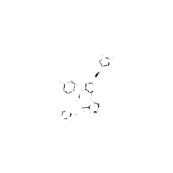 Cc1nnc(C[C@@H]2N=C(c3ccc(Cl)cc3)c3c(sc(C#Cc4cnn(C)c4)c3C)-n3c(C)nnc32)o1